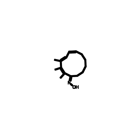 C/C1=C(C)/C(C)=C/C=C\CCCCCC1=NO